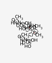 COc1ccccc1C(OP(=O)(S)S)(c1ccccc1)c1ccccc1OC.Cc1cn([C@H]2C[C@H](O)[C@@H](CO)O2)c(=O)[nH]c1=O.Cc1cn([C@H]2C[C@H](O)[C@@H](CO)O2)c(=O)[nH]c1=O